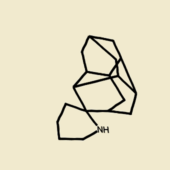 C1CCC2(NC1)C1CC3C4CC5CC3C2C(C5)C4C1